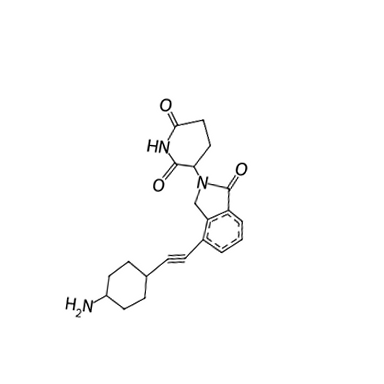 NC1CCC(C#Cc2cccc3c2CN(C2CCC(=O)NC2=O)C3=O)CC1